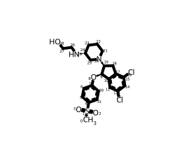 CS(=O)(=O)c1ccc(O[C@@H]2c3cc(Cl)cc(Cl)c3C[C@@H]2N2CCC[C@@H](NCCO)C2)cc1